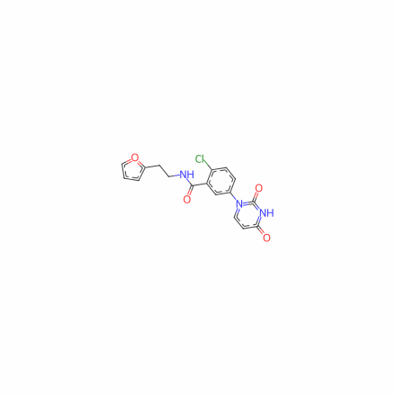 O=C(NCCc1ccco1)c1cc(-n2ccc(=O)[nH]c2=O)ccc1Cl